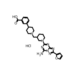 Cl.Nc1nc(N2CCCC(CN3CCC(c4cccc(C(=O)O)c4)CC3)C2)nc2nc(-c3ccco3)nn12